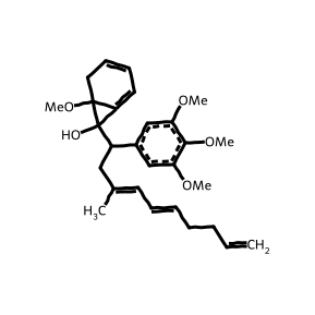 C=CCCC=CC=C(C)CC(c1cc(OC)c(OC)c(OC)c1)C1(O)C2=CC=CCC21OC